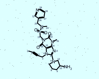 CC#CCn1c(N2CCCC(N)C2)nc2c1c(=O)n(CS(=O)(=O)N(C)Cc1cccnc1)c(=O)n2C